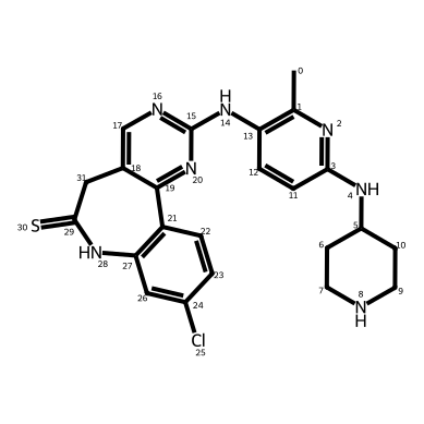 Cc1nc(NC2CCNCC2)ccc1Nc1ncc2c(n1)-c1ccc(Cl)cc1NC(=S)C2